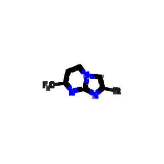 CCc1[c]n2ccc(C(F)(F)F)nc2n1